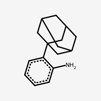 Nc1ccccc1C12CC3CC(CC(C3)C1)C2